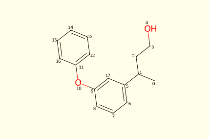 CC(CCO)c1cccc(Oc2ccccc2)c1